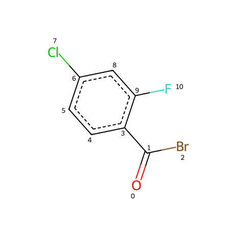 O=C(Br)c1ccc(Cl)cc1F